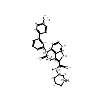 Cc1ccc(-c2cccc(N3C(=O)Nc4c(C(=O)N[C@@H]5CCCNC5)sc5nccc3c45)c2)cc1